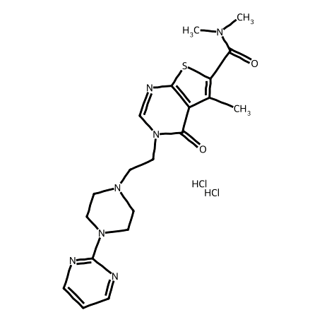 Cc1c(C(=O)N(C)C)sc2ncn(CCN3CCN(c4ncccn4)CC3)c(=O)c12.Cl.Cl